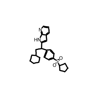 O=S(=O)(c1ccc(C(CC2CCCCC2)c2cc3cccnc3[nH]2)cc1)C1CCCC1